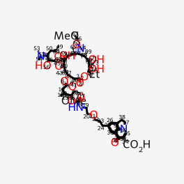 CC[C@H]1OC(=O)[C@H](C)[C@@H](O[C@H]2C[C@@](C)(OC)[C@@H](OC(=O)NCCOCCCc3cc4c5c(c3)c(=O)c(C(=O)O)cn5CC4)[C@H](C)O2)[C@H](C)[C@@H](OC2O[C@H](C)C[C@H](N(C)C)[C@H]2O)[C@](C)(O)C[C@@H](C)/C(=N\OCOC)[C@H](C)[C@@H](O)[C@]1(C)O